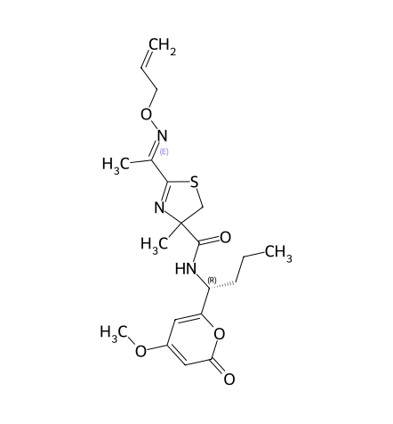 C=CCO/N=C(\C)C1=NC(C)(C(=O)N[C@H](CCC)c2cc(OC)cc(=O)o2)CS1